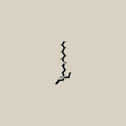 C=CC[SiH](CC)CCC=NCCCCCC